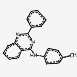 Cc1ccc(Nc2nc(-c3ccccc3)nc3ccccc23)cc1